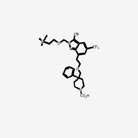 C[Si](C)(C)CCOCn1nc2c(CCOCC3(c4ccccc4)CCN(C(=O)O)CC3)cc(C(F)(F)F)cc2c1C#N